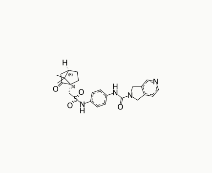 CC1(C)[C@@H]2CC[C@@]1(CS(=O)(=O)Nc1ccc(NC(=O)N3Cc4ccncc4C3)cc1)C(=O)C2